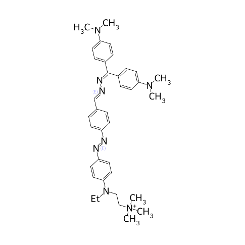 CCN(CC[N+](C)(C)C)c1ccc(/N=N/c2ccc(/C=N/N=C(c3ccc(N(C)C)cc3)c3ccc(N(C)C)cc3)cc2)cc1